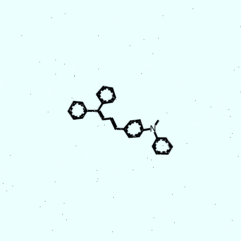 CN(c1ccccc1)c1ccc(C=CC=C(c2ccccc2)c2ccccc2)cc1